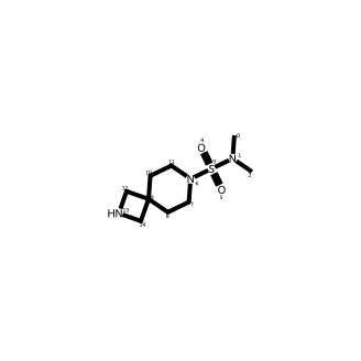 CN(C)S(=O)(=O)N1CCC2(CC1)CNC2